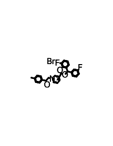 Cc1ccc(C(=O)C[N+]23CCC(CC2)C(C(=O)OC(c2cccc(F)c2)c2cccc(F)c2)C3)cc1.[Br-]